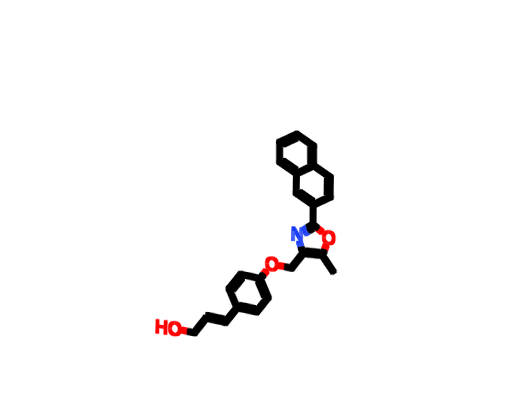 Cc1oc(-c2ccc3ccccc3c2)nc1COc1ccc(/C=C/CO)cc1